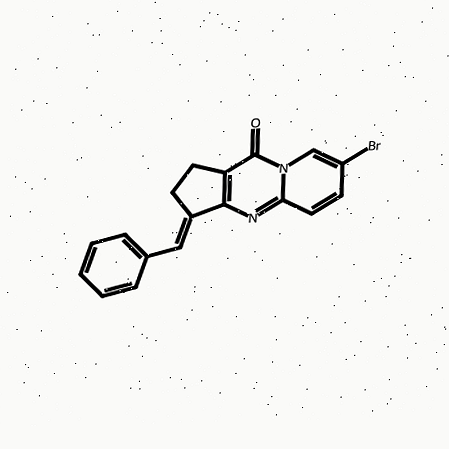 O=c1c2c(nc3ccc(Br)cn13)C(=Cc1ccccc1)CC2